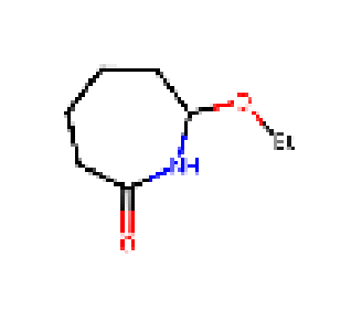 CCOC1CCCCC(=O)N1